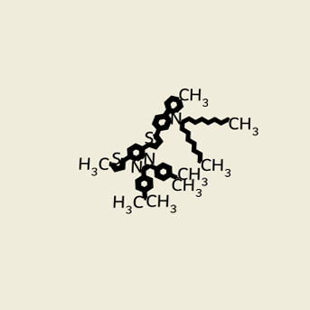 CCCCCCCCC(CCCCCCCC)n1c2cc(C)ccc2c2ccc(-c3ccc(-c4ccc(-c5ccc(C)s5)c5nc(-c6ccc(C(C)C)cc6)c(-c6ccc(C(C)C)cc6)nc45)s3)cc21